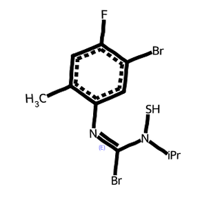 Cc1cc(F)c(Br)cc1/N=C(/Br)N(S)C(C)C